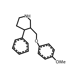 COc1ccc(OCC2CNCCC2c2ccccc2)cc1